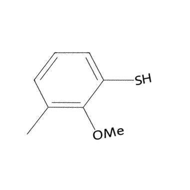 COc1c(C)cccc1S